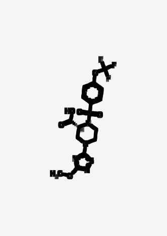 COc1nsc(N2CCN(S(=O)(=O)c3ccc(OC(F)(F)F)cc3)[C@@H](C(=O)O)C2)n1